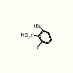 CC(C)(C)c1cccc(I)c1C(=O)O